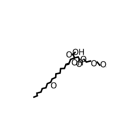 CCCCCCCC(=O)CCCCCC/C=C/C[C@@](O)(CC(=O)OCCOCCOC)C(=O)O